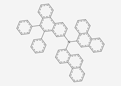 c1ccc(-c2c(-c3ccccc3)c3cc(N(c4cccc5c4ccc4ccccc45)c4cc5ccccc5c5ccccc45)ccc3c3ccccc23)cc1